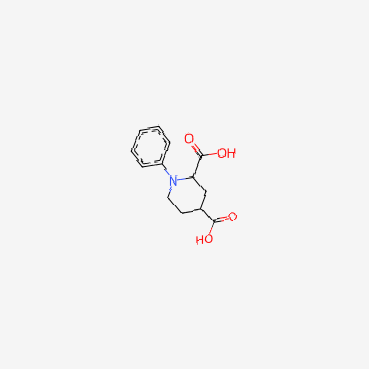 O=C(O)C1CCN(c2ccccc2)C(C(=O)O)C1